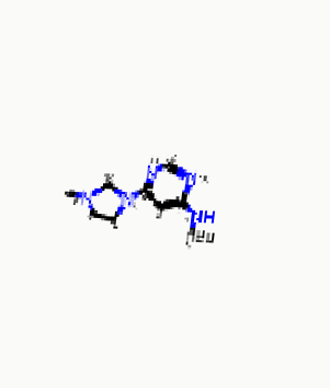 CCCCNc1cc(N2CCN(C)C2)ncn1